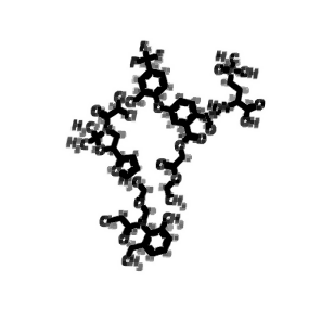 CC1(C)OC(c2ccco2)CN1C(=O)C(Cl)Cl.CCOC(=O)COC(=O)c1cc(Oc2ccc(C(F)(F)F)cc2Cl)ccc1[N+](=O)[O-].CCOCN(C(=O)CCl)c1c(C)cccc1CC.CP(=O)(O)CCC(N)C(=O)O